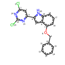 Clc1cc(-c2cc3c(OCc4ccccc4)cccc3[nH]2)nc(Cl)n1